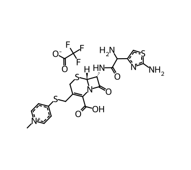 C[n+]1ccc(SCC2=C(C(=O)O)N3C(=O)[C@@H](NC(=O)C(N)c4csc(N)n4)[C@H]3SC2)cc1.O=C([O-])C(F)(F)F